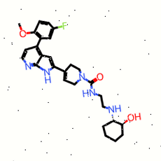 COc1ccc(F)cc1-c1ccnc2[nH]c(C3=CCN(C(=O)NCCN[C@H]4CCCC[C@@H]4O)CC3)cc12